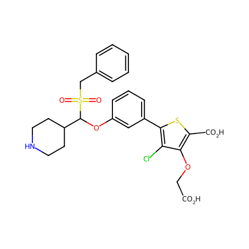 O=C(O)COc1c(C(=O)O)sc(-c2cccc(OC(C3CCNCC3)S(=O)(=O)Cc3ccccc3)c2)c1Cl